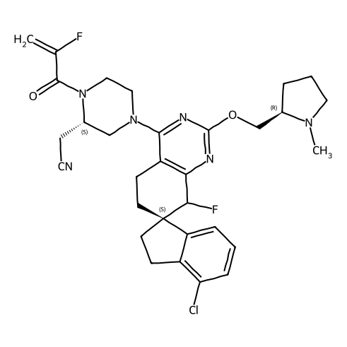 C=C(F)C(=O)N1CCN(c2nc(OC[C@H]3CCCN3C)nc3c2CC[C@@]2(CCc4c(Cl)cccc42)C3F)C[C@@H]1CC#N